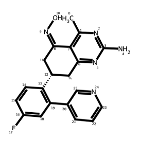 Cc1nc(N)nc2c1/C(=N\O)C[C@@H](c1ccc(F)cc1-c1cccnc1)C2